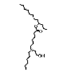 CCCCCCCCC(CCC)OC(=O)CCCCCN(CCO)CCCCCC